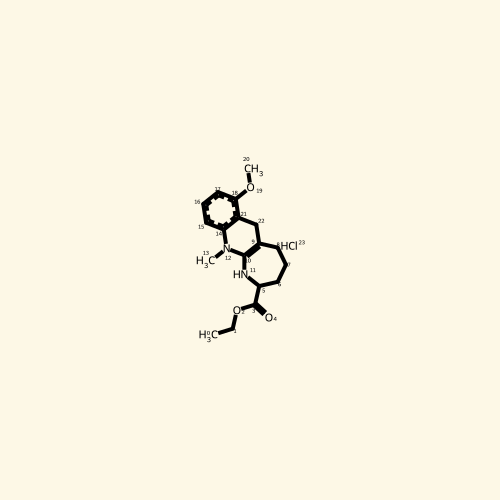 CCOC(=O)C1CCCC2=C(N1)N(C)c1cccc(OC)c1C2.Cl